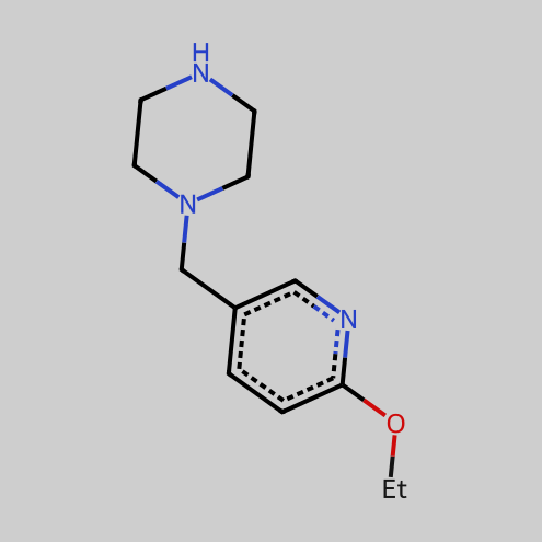 CCOc1ccc(CN2CCNCC2)cn1